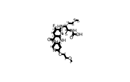 COCCOc1cc(Nc2nc(N[C@H](CCSC)[C@H](C)NC(=O)O)c(F)cc2C(N)=O)ccn1